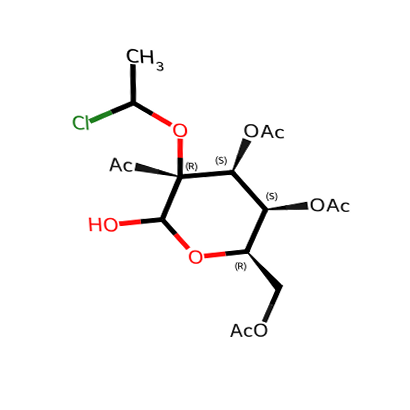 CC(=O)OC[C@H]1OC(O)[C@@](OC(C)Cl)(C(C)=O)[C@@H](OC(C)=O)[C@H]1OC(C)=O